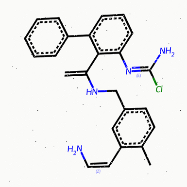 C=C(NCc1ccc(C)c(/C=C\N)c1)c1c(/N=C(\N)Cl)cccc1-c1ccccc1